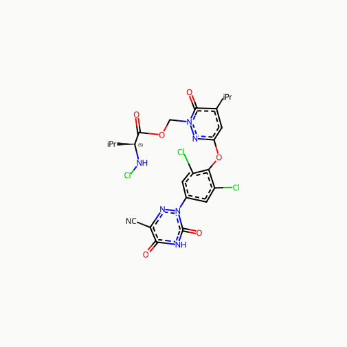 CC(C)c1cc(Oc2c(Cl)cc(-n3nc(C#N)c(=O)[nH]c3=O)cc2Cl)nn(COC(=O)[C@@H](NCl)C(C)C)c1=O